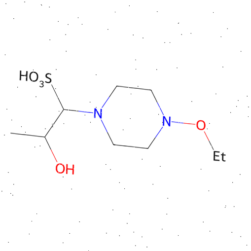 CCON1CCN(C(C(C)O)S(=O)(=O)O)CC1